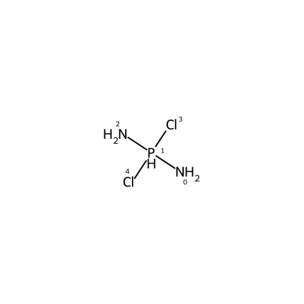 N[PH](N)(Cl)Cl